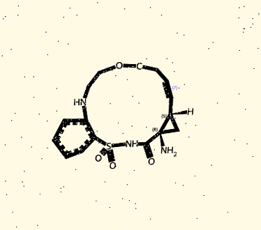 N[C@]12C[C@H]1/C=C\CCOCCNc1ccccc1S(=O)(=O)NC2=O